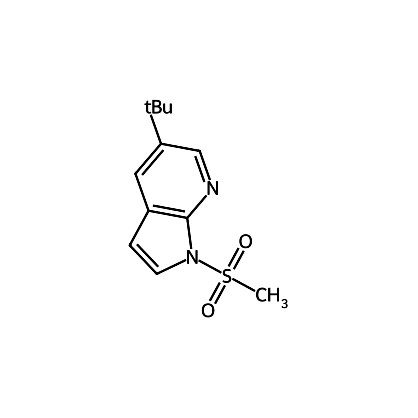 CC(C)(C)c1cnc2c(ccn2S(C)(=O)=O)c1